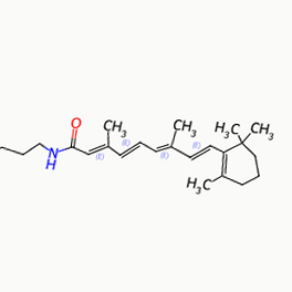 CC1=C(/C=C/C(C)=C/C=C/C(C)=C/C(=O)NCCCI)C(C)(C)CCC1